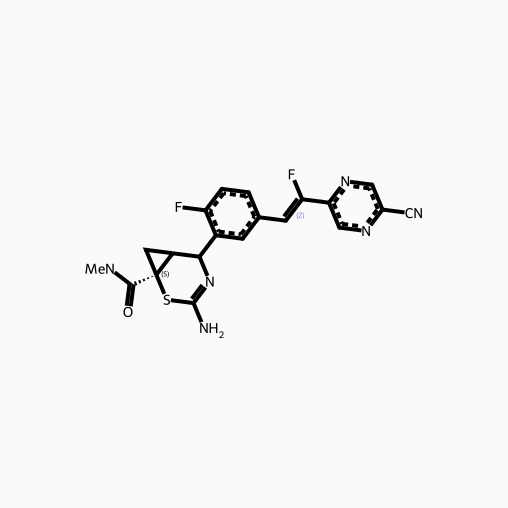 CNC(=O)[C@]12CC1C(c1cc(/C=C(\F)c3cnc(C#N)cn3)ccc1F)N=C(N)S2